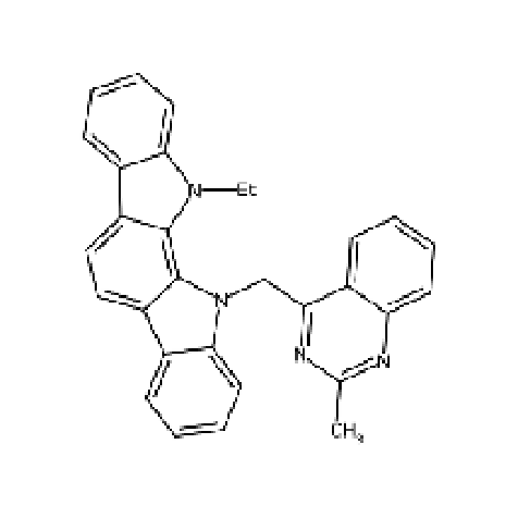 CCn1c2ccccc2c2ccc3c4ccccc4n(Cc4nc(C)nc5ccccc45)c3c21